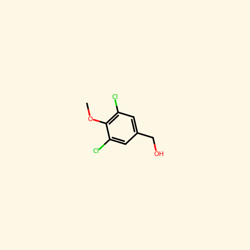 COc1c(Cl)cc(CO)cc1Cl